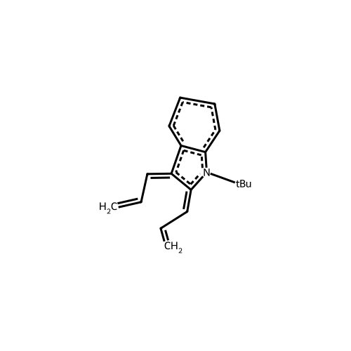 C=C/C=c1\c(=C/C=C)n(C(C)(C)C)c2ccccc12